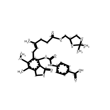 COc1c(C)c2c(c(OC(=O)Nc3ccc(C(=O)O)cc3)c1C/C=C(\C)CCC(=O)OCC1COC(C)(C)O1)C(=O)OC2